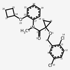 CN(C(=O)C1(OCc2cc(Cl)ccc2Cl)CC1)c1ccccc1OC1CCC1